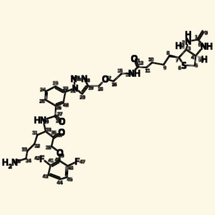 C=C1N[C@H]2[C@H](CS[C@H]2CCCCC(=O)NCCOCc2cn(-c3cccc(C(=O)NC(CCCCN)C(=O)COc4c(F)cccc4F)c3)nn2)N1